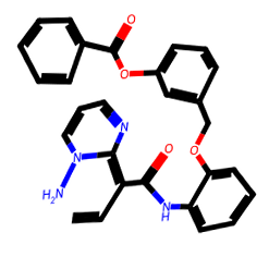 C=C/C(C(=O)Nc1ccccc1OCc1cccc(OC(=O)c2ccccc2)c1)=C1/N=CC=CN1N